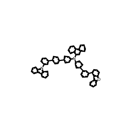 c1cc(-c2ccc(N(c3ccc(-c4ccc(-c5cccc(-n6c7ccccc7c7ccccc76)c5)cc4)cc3)c3cc4ccccc4c4ccccc34)cc2)cc(-c2cccc3oc4ccccc4c23)c1